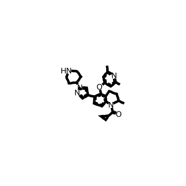 Cc1cc(Oc2c(-c3cnn(C4CCNCC4)c3)ccc3c2CCC(C)N3C(=O)C2CC2)cc(C)n1